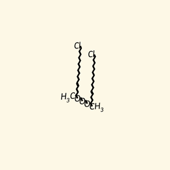 CC(CCC=CCCCCCCCCCCCCl)OCOCOC(C)CCC=CCCCCCCCCCCCCl